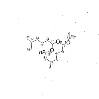 CCCOC(CCCC(C)I)OC(CCCC(C)I)OCCC